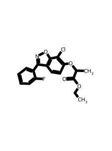 CCOC(=O)C(C)Oc1ccc2c(-c3ccccc3F)noc2c1Cl